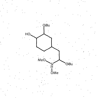 CO[SiH](OC)C(CC1CCC(O)C(OCC(C)C)C1)OCC(C)C